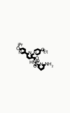 CCOC1CCN(c2nc(-c3ccc(OC(C)C)nc3)ccc2C(=O)NS(=O)(=O)c2cccc(N)n2)CC1